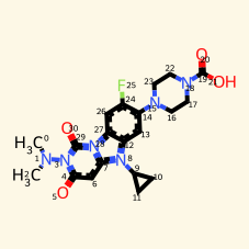 CN(C)n1c(=O)cc2n(C3CC3)c3cc(N4CCN(C(=O)O)CC4)c(F)cc3n2c1=O